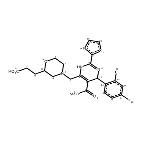 COC(=O)C1=C(CN2CCOC(CCC(=O)O)C2)NC(c2nccs2)=NC1c1ccc(F)cc1Cl